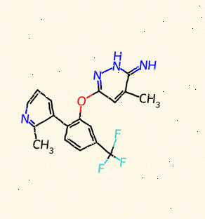 Cc1ncccc1-c1ccc(C(F)(F)F)cc1Oc1cc(C)c(=N)[nH]n1